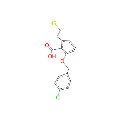 O=C(O)c1c(CCS)cccc1OCc1ccc(Cl)cc1